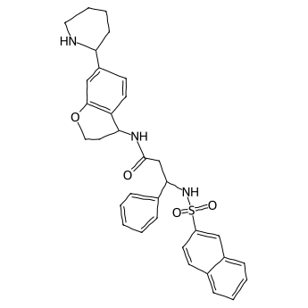 O=C(CC(NS(=O)(=O)c1ccc2ccccc2c1)c1ccccc1)NC1CCOc2cc(C3CCCCN3)ccc21